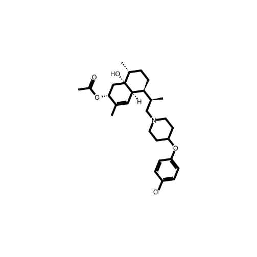 CC(=O)O[C@@H]1[C][C@@]2(O)[C@H](C)CC[C@@H]([C@@H](C)CN3CCC(Oc4ccc(Cl)cc4)CC3)[C@H]2C=C1C